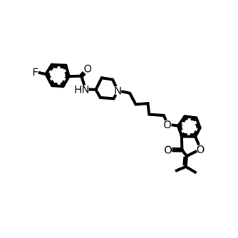 CC(C)=C1Oc2cccc(OCCCCCN3CCC(NC(=O)c4ccc(F)cc4)CC3)c2C1=O